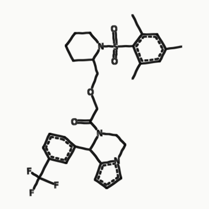 Cc1cc(C)c(S(=O)(=O)N2CCCCC2COCC(=O)N2CCn3cccc3C2c2cccc(C(F)(F)F)c2)c(C)c1